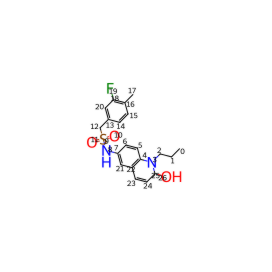 CCCN1c2ccc(NS(=O)(=O)Cc3ccc(C)c(F)c3)cc2C=CC1O